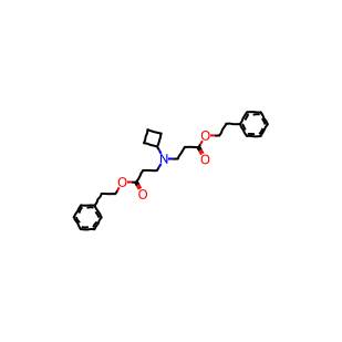 O=C(CCN(CCC(=O)OCCc1ccccc1)C1CCC1)OCCc1ccccc1